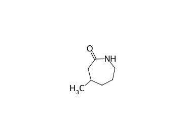 CC1CCCNC(=O)C1